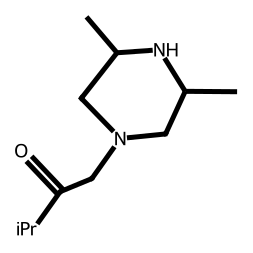 CC1CN(CC(=O)C(C)C)CC(C)N1